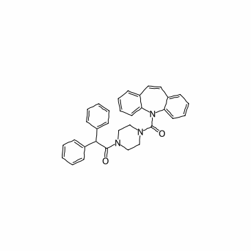 O=C(C(c1ccccc1)c1ccccc1)N1CCN(C(=O)N2c3ccccc3C=Cc3ccccc32)CC1